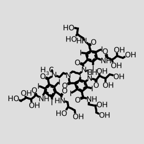 CN(CCN(CCN(C)C(=O)c1c(I)c(NC(=O)C(O)C(O)CO)c(I)c(C(=O)NCC(O)CO)c1I)C(=O)c1c(I)c(NC(=O)C(O)C(O)CO)c(I)c(C(=O)NCC(O)CO)c1I)C(=O)c1c(I)c(NC(=O)C(O)C(O)CO)c(I)c(C(=O)NCC(O)CO)c1I